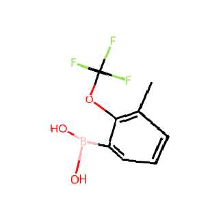 Cc1cccc(B(O)O)c1OC(F)(F)F